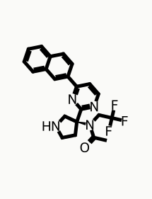 CC(=O)N(CC(F)(F)F)[C@@]1(c2nccc(-c3ccc4ccccc4c3)n2)CCNC1